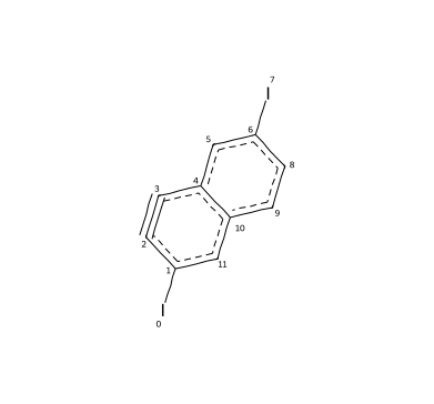 Ic1c#cc2cc(I)ccc2c1